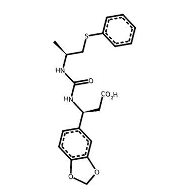 C[C@@H](CSc1ccccc1)NC(=O)N[C@@H](CC(=O)O)c1ccc2c(c1)OCO2